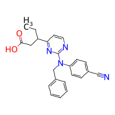 CCC(CC(=O)O)c1ccnc(N(Cc2ccccc2)c2ccc(C#N)cc2)n1